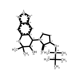 CC1(C)Oc2cc3nonc3cc2C(N2CCC(O[Si](C)(C)C(C)(C)C)C2=O)C1O